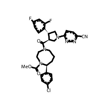 COC(=O)N1CCN(C(=O)[C@@H]2CN(c3ccc(C#N)nn3)C[C@H]2c2ccc(F)cc2F)CCC[C@H]1c1ccc(Cl)cc1